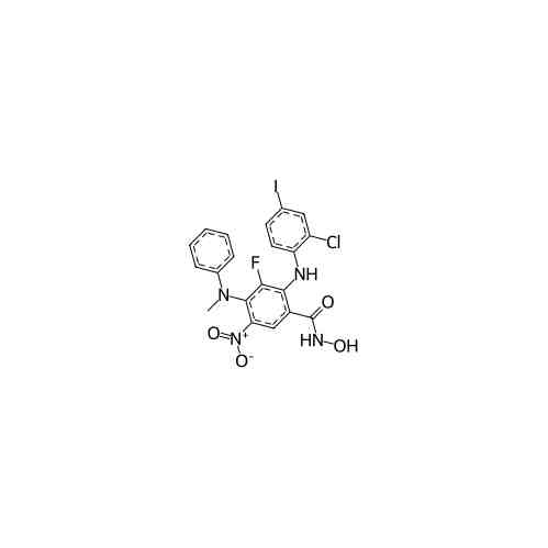 CN(c1ccccc1)c1c([N+](=O)[O-])cc(C(=O)NO)c(Nc2ccc(I)cc2Cl)c1F